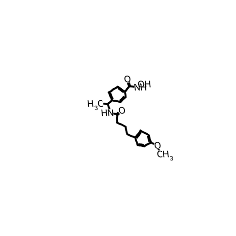 COc1ccc(CCCC(=O)NC(C)c2ccc(C(=O)NO)cc2)cc1